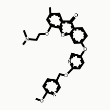 COc1ccc(COc2ccc(Oc3ccc4c(=O)c5cc(C)cc(OCCN(C)C)c5oc4c3)cn2)cn1